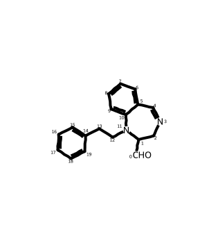 O=CC1CN=Cc2ccccc2N1CCc1ccccc1